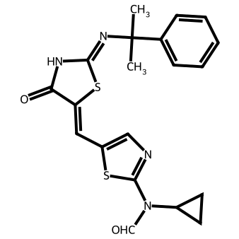 CC(C)(/N=C1/NC(=O)/C(=C/c2cnc(N(C=O)C3CC3)s2)S1)c1ccccc1